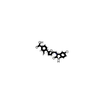 O=C1Nc2ccc(Cl)cc2/C1=C/c1ccc(-c2ccc(C(=O)O)cc2F)o1